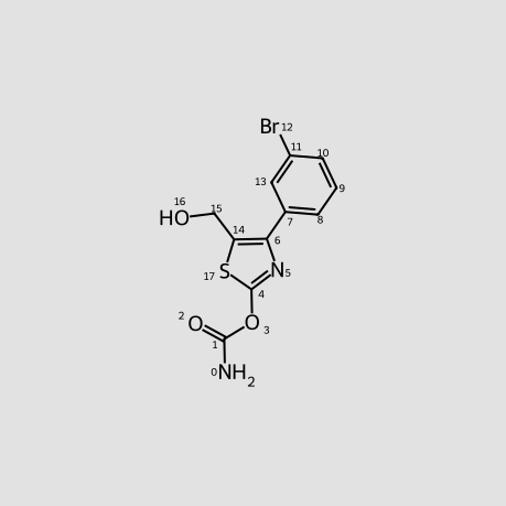 NC(=O)Oc1nc(-c2cccc(Br)c2)c(CO)s1